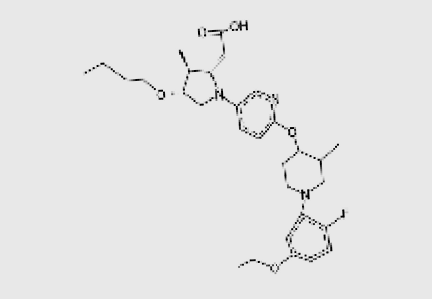 CCCCO[C@H]1CN(c2ccc(OC3CCN(c4cc(OCC)ccc4F)CC3C)nc2)[C@@H](CC(=O)O)[C@@H]1C